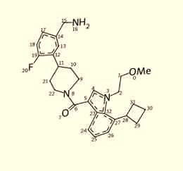 COCCn1cc(C(=O)N2CCC(c3cc(CN)ccc3F)CC2)c2cccc(C3CCC3)c21